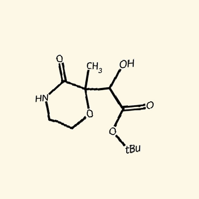 CC(C)(C)OC(=O)C(O)C1(C)OCCNC1=O